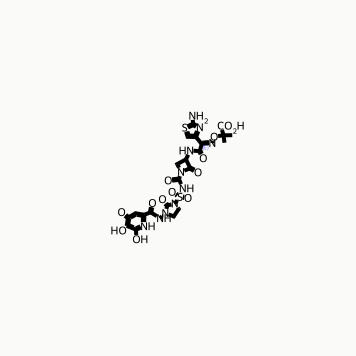 CC(C)(O/N=C(/C(=O)NC1CN(C(=O)NS(=O)(=O)N2CCN(NC(=O)c3cc(=O)c(O)c(O)[nH]3)C2=O)C1=O)c1csc(N)n1)C(=O)O